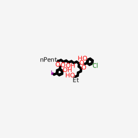 CCCCCC1CC(CC(O)CCCC2CC(CCCC(O)CC)OC(c3cc(Cl)ccc3O)O2)OC(c2cc(CI)ccc2O)O1